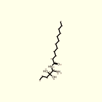 CCCCCCCCCCCC(=O)NC(N)C(O)(O)CCC